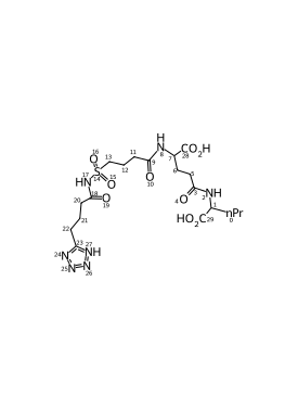 CCCC(NC(=O)CCC(NC(=O)CCCS(=O)(=O)NC(=O)CCCc1nnn[nH]1)C(=O)O)C(=O)O